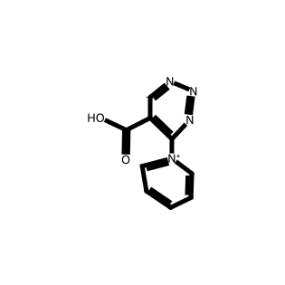 O=C(O)c1[c]nnnc1-[n+]1ccccc1